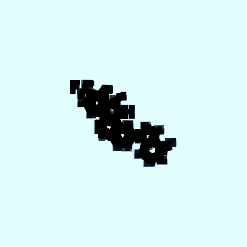 Cc1c([C@@H](C)Nc2nncc3ccc(N4CCC5C4CCCN5C)cc23)cccc1C(F)(F)F